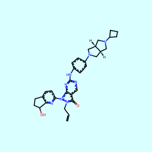 C=CCn1c(=O)c2cnc(Nc3ccc(N4C[C@@H]5CN(C6CCC6)C[C@@H]5C4)cc3)nc2n1-c1ccc2c(n1)C(O)CC2